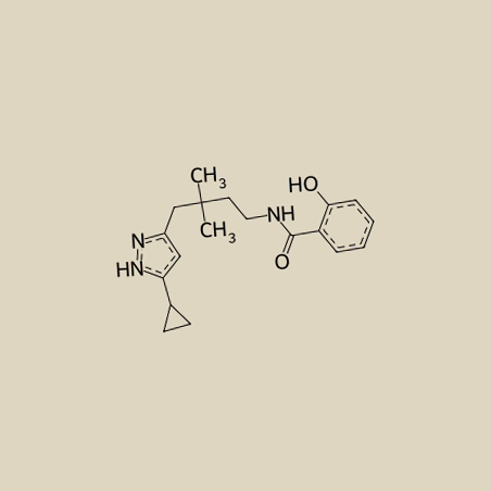 CC(C)(CCNC(=O)c1ccccc1O)Cc1cc(C2CC2)[nH]n1